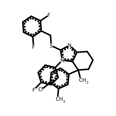 Cc1cc(C2(C)CCCc3nc(SCc4c(F)cccc4F)n(-c4ccc(F)cc4)c32)ccc1Cl